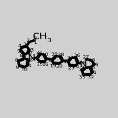 CCCc1ccc2c3ccccc3n(-c3ccc(-c4ccc(-c5ccc(N6CCCc7ccccc76)cc5)cc4)cc3)c2c1